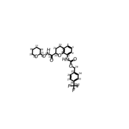 O=C(Nc1cccc2c1OC(C(=O)NOC1CCCCO1)CC2)OCc1ccc(C(F)(F)F)cc1